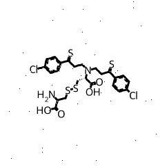 NC(CSSC[C@@H](C(=O)O)N(CCC(=S)c1ccc(Cl)cc1)CCC(=S)c1ccc(Cl)cc1)C(=O)O